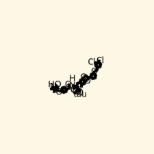 Cc1nccc(Oc2ccc(CC(NC(=O)C3Cc4cc5c(cc4CN3C(=O)OC(C)(C)C)OC(c3cccc(OCc4ccc(Cl)c(Cl)c4)c3)CO5)C(=O)O)cc2)c1C